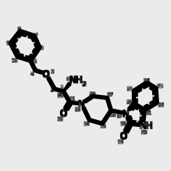 N[C@H](COCc1ccccc1)C(=O)N1CCC(n2c(=O)[nH]c3ccccc32)CC1